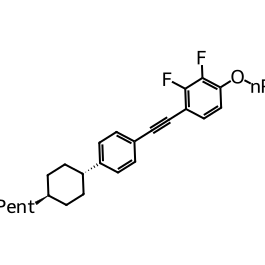 CCCCC[C@H]1CC[C@H](c2ccc(C#Cc3ccc(OCCC)c(F)c3F)cc2)CC1